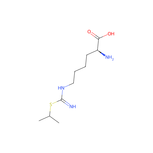 CC(C)SC(=N)NCCCC[C@H](N)C(=O)O